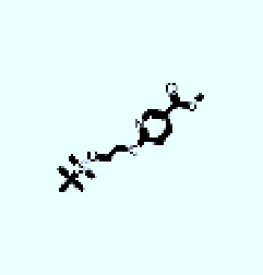 COC(=O)c1ccc(OCCO[Si](C)(C)C(C)(C)C)nc1